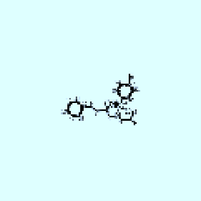 CC(C)CN(C[C@H](O)[CH]Cc1ccccc1)S(=O)(=O)c1ccc(F)cc1